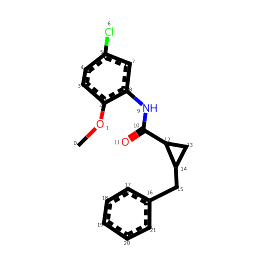 COc1ccc(Cl)cc1NC(=O)C1CC1Cc1ccccc1